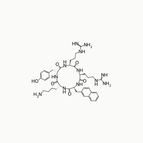 N=C(N)NCCC[C@@H]1NC(=O)[C@H](CCCNC(=N)N)NC(=O)[C@@H](Cc2ccc(O)cc2)NC(=O)[C@@H](CCCCN)NC(=O)[C@H](Cc2ccc3ccccc3c2)NC1=O